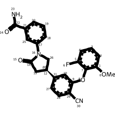 COc1cccc(F)c1Oc1cc([C@H]2CC(=O)N(c3cccc(C(N)=O)c3)C2)ccc1C#N